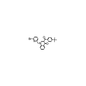 CC(C)(C)c1ccc(C(=O)c2cn(Cc3cccc(Br)n3)c3ccccc3c2=O)cc1